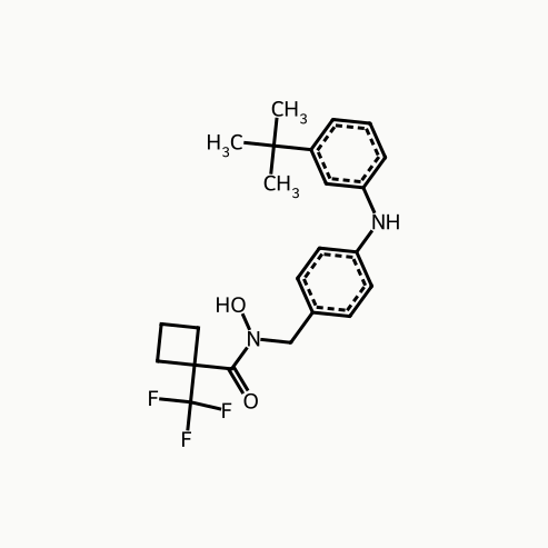 CC(C)(C)c1cccc(Nc2ccc(CN(O)C(=O)C3(C(F)(F)F)CCC3)cc2)c1